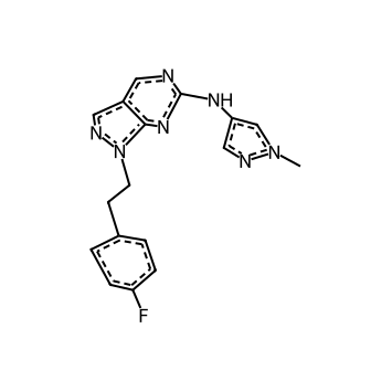 Cn1cc(Nc2ncc3cnn(CCc4ccc(F)cc4)c3n2)cn1